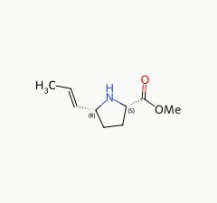 CC=C[C@H]1CC[C@@H](C(=O)OC)N1